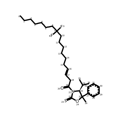 CCCCCCCC(F)(F)CCCCCC/C=C/CC(=O)N1C(=S)OC(C)(c2ccccc2)[C@@H]1C(C)C